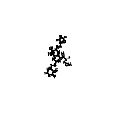 C[C@H](CO)Nc1nc(SCc2cccc(F)c2F)nc2[nH]c(=O)c(SCc3ccco3)nc12